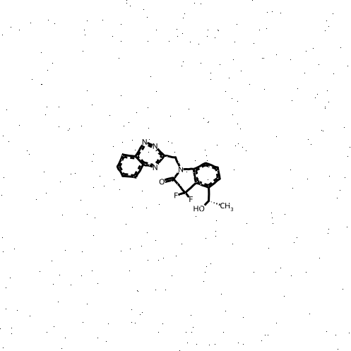 C[C@H](O)c1cccc2c1C(F)(F)C(=O)N2Cc1nnc2ccccc2n1